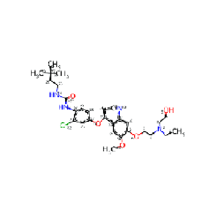 CCN(CCO)CCOc1cc2nccc(Oc3ccc(NC(=O)NCCC(C)(C)C)c(Cl)c3)c2cc1OC